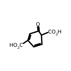 O=C(O)C1=CC(=O)C(C(=O)O)C=C1